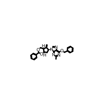 C=C1[C@@H]2COC(c3ccccc3)O[C@H]2C[C@@H]1n1cnc2c(OCc3ccccc3)nc(C)nc21